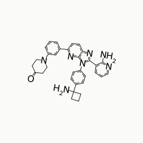 Nc1ncccc1-c1nc2ccc(-c3cccc(N4CCC(=O)CC4)c3)nc2n1-c1ccc(C2(N)CCC2)cc1